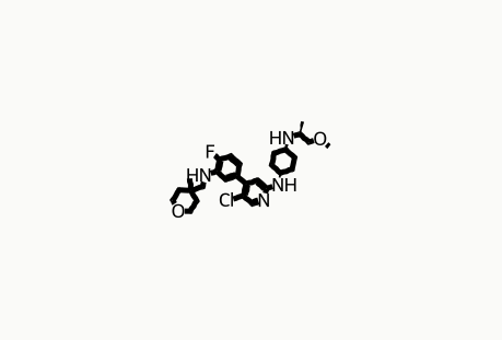 COC[C@H](C)N[C@H]1CC[C@H](Nc2cc(-c3ccc(F)c(NCC4(C)CCOCC4)c3)c(Cl)cn2)CC1